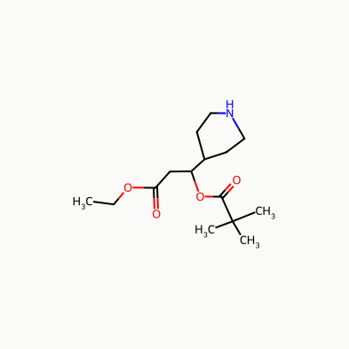 CCOC(=O)CC(OC(=O)C(C)(C)C)C1CCNCC1